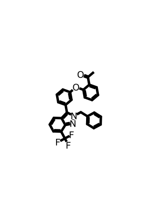 CC(=O)c1ccccc1Oc1cccc(-c2c3cccc(C(F)(F)F)c3nn2Cc2ccccc2)c1